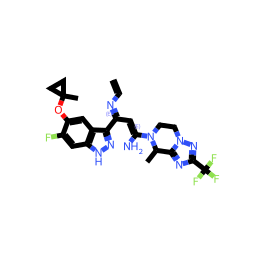 C=C/N=C(\C=C(/N)N1CCn2nc(C(F)(F)F)nc2C1C)c1n[nH]c2cc(F)c(OC3(C)CC3)cc12